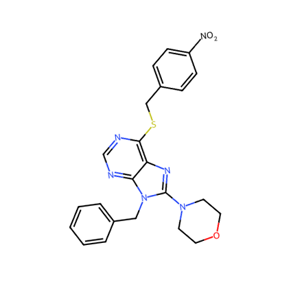 O=[N+]([O-])c1ccc(CSc2ncnc3c2nc(N2CCOCC2)n3Cc2ccccc2)cc1